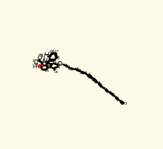 C#CC#CC#CC#CC#CC#CC#CC#CC#CC#CC#COc1cc(C)cc(C(NC(CO)C(=O)OC)(c2ccccc2)c2ccccc2)c1